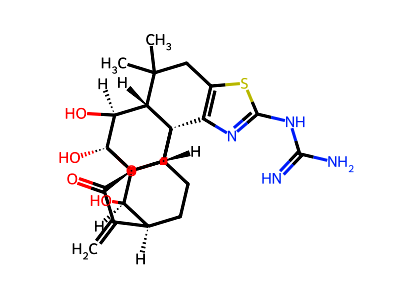 C=C1C(=O)[C@]23[C@H](O)[C@H]1CC[C@H]2[C@@]12CO[C@@]3(O)[C@@H](O)[C@@H]1C(C)(C)Cc1sc(NC(=N)N)nc12